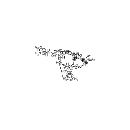 CN[C@H](CC(C)C)C(=O)N[C@H]1C(=O)N[C@@H](CC(N)=O)C(=O)N[C@H]2C(=O)N[C@@H](C(N)=O)c3ccc(O)c(c3)-c3c(O)cc(O)cc3C(C(=O)NCCC(O)C(O)CCC(=O)Nc3ccc(OC)c(C(N)=O)c3O)NC(=O)C[C@H](O)c3ccc(c(Cl)c3)Oc3cc2cc(c3OC2O[C@@H](CO)[C@@H](O)[C@H](O)[C@@H]2O[C@@H]2C[C@](C)(N)[C@H](O)[C@@H](C)O2)Oc2ccc(cc2Cl)[C@H]1O